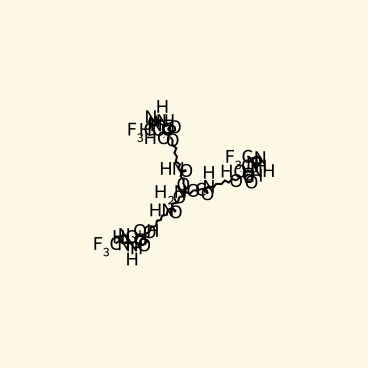 NC(COCCC(=O)NCCCCCCOC[C@@]12CO[C@@H](O1)[C@H](Nc1cncc(C(F)(F)F)n1)[C@@H](O)[C@H]2O)(COCCC(=O)NCCCCCCOC[C@@]12CO[C@@H](O1)[C@H](Nc1cncc(C(F)(F)F)n1)[C@@H](O)[C@H]2O)COCCC(=O)NCCCCCCOC[C@@]12CO[C@@H](O1)[C@H](Nc1cncc(C(F)(F)F)n1)[C@@H](O)[C@H]2O